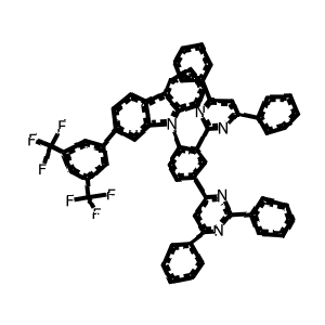 FC(F)(F)c1cc(-c2ccc3c4ccccc4n(-c4ccc(-c5cc(-c6ccccc6)nc(-c6ccccc6)n5)cc4-c4nc(-c5ccccc5)cc(-c5ccccc5)n4)c3c2)cc(C(F)(F)F)c1